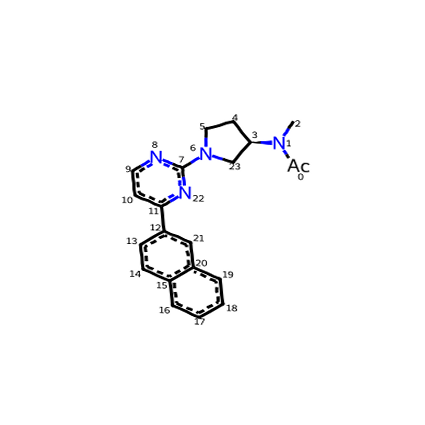 CC(=O)N(C)[C@@H]1CCN(c2nccc(-c3ccc4ccccc4c3)n2)C1